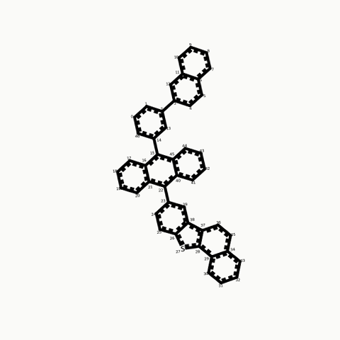 c1cc(-c2ccc3ccccc3c2)cc(-c2c3ccccc3c(-c3ccc4sc5c6ccccc6ccc5c4c3)c3ccccc23)c1